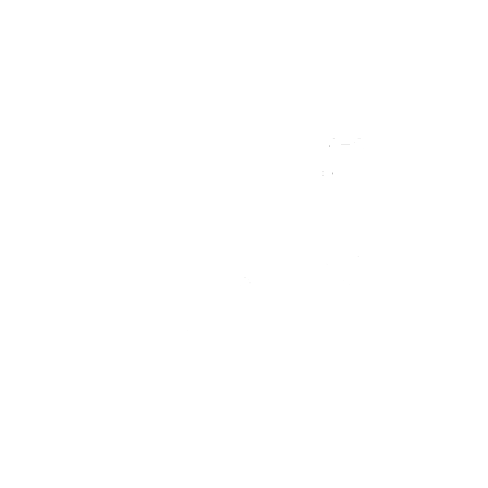 O=COCCC1(CCOCc2ccccc2)CC1